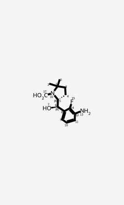 CC1(C)CC[C@H]([C@H](O)c2cccc(N)c2F)N1C(=O)O